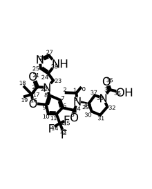 CC(C)N(C(=O)c1cc2c(cc1C(F)(F)F)OC(C)(C)C(=O)N2Cc1cnc[nH]1)[C@@H]1CCCN(C(=O)O)C1